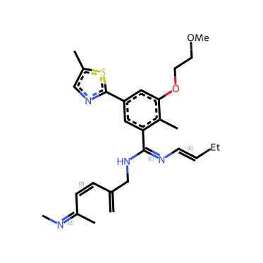 C=C(/C=C\C(C)=N/C)CN/C(=N/C=C/CC)c1cc(-c2ncc(C)s2)cc(OCCOC)c1C